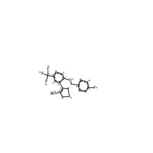 Fc1ccc(COc2ccc(C(F)(F)F)cc2C2=C(Br)CCC2)cc1